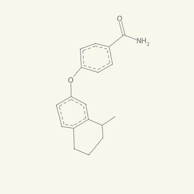 CC1CCCc2ccc(Oc3ccc(C(N)=O)cc3)cc21